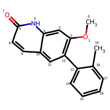 COc1cc2[nH]c(=O)ccc2cc1-c1ccccc1C